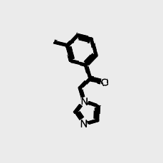 Cc1cccc(C(=O)Cn2ccnc2)c1